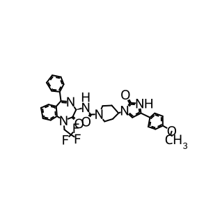 COc1ccc(-c2cn(C3CCN(C(=O)N[C@@H]4N=C(c5ccccc5)c5ccccc5N(CC(F)(F)F)C4=O)CC3)c(=O)[nH]2)cc1